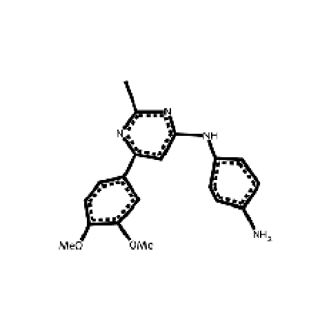 COc1ccc(-c2cc(Nc3ccc(N)cc3)nc(C)n2)cc1OC